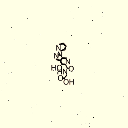 O=C(O)CNC(=O)c1ncc2c(cnn2-c2ccccn2)c1O